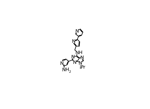 CC(C)n1cnc2c(NCc3ccc(-c4cccnc4)nc3)nc(-c3ccnc(N)c3)nc21